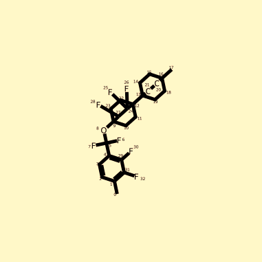 Cc1ccc(C(F)(F)OC23CCC(C45CCC(C)(CC4)CC5)(CC2)C(F)(F)C3F)c(F)c1F